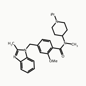 COc1cc(Cn2c(C)nc3ccccc32)ccc1C(=O)N(C)C1CCN(C(C)C)CC1